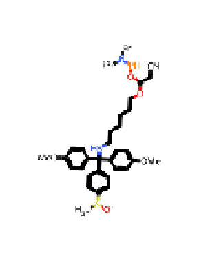 COc1ccc(C(NCCCCCCOC(CC#N)OPN(C(C)C)C(C)C)(c2ccc(OC)cc2)c2ccc([S+](C)[O-])cc2)cc1